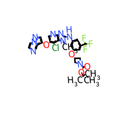 Cn1c(Nc2cc(OC3CN(C(=O)OC(C)(C)C)C3)cc(C(F)(F)F)c2)nc2ncc(Oc3cnn4ccncc34)c(Cl)c21